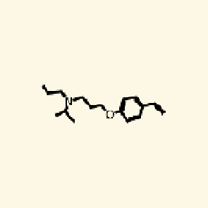 C=Cc1ccc(OCCCN(CCC)C(C)C)cc1